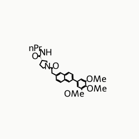 CCCNC(=O)[C@H]1CCN(C(=O)Cc2ccc3cc(-c4cc(OC)c(OC)c(OC)c4)ccc3c2)C1